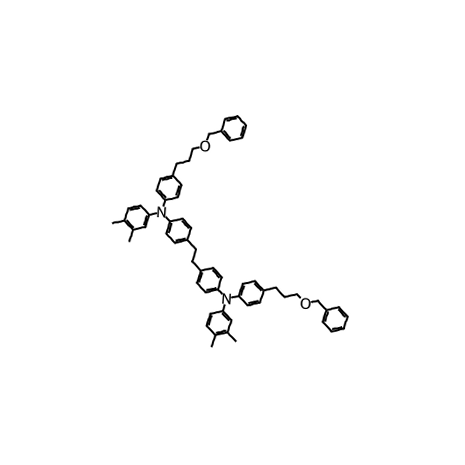 Cc1ccc(N(c2ccc(CCCOCc3ccccc3)cc2)c2ccc(CCc3ccc(N(c4ccc(CCCOCc5ccccc5)cc4)c4ccc(C)c(C)c4)cc3)cc2)cc1C